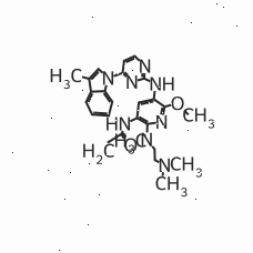 C=CC(=O)Nc1cc(Nc2nccc(-n3cc(C)c4ccccc43)n2)c(OC)nc1N(C)CCN(C)C